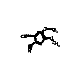 [C-]#[N+]c1cc(OC)c(OC)cc1C#N